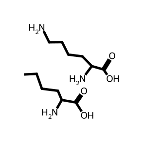 CCCCC(N)C(=O)O.NCCCCC(N)C(=O)O